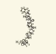 CC(C)(C)OC(=O)CNC(=O)CN1CCC(Nc2cc(C(=O)NC[C@H](O)CN3CCc4ccccc4C3)ncn2)CC1